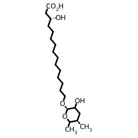 CC1O[C@@H](OCCCCCCCCCCCC[C@@H](O)CC(=O)O)C(O)C[C@H]1C